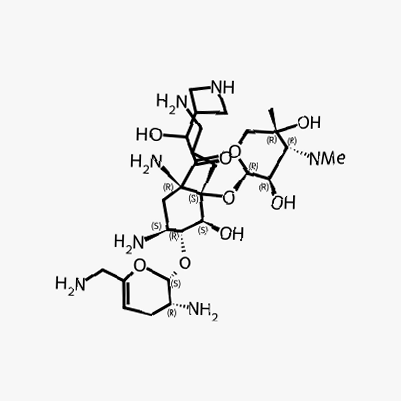 CN[C@@H]1[C@@H](O)[C@@H](O[C@]2(CCCN)[C@@H](O)[C@H](O[C@H]3OC(CN)=CC[C@H]3N)[C@@H](N)C[C@]2(N)C(=O)C(O)C2CNC2)OC[C@]1(C)O